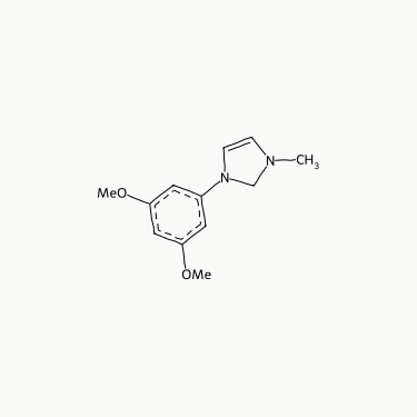 COc1cc(OC)cc(N2C=CN(C)C2)c1